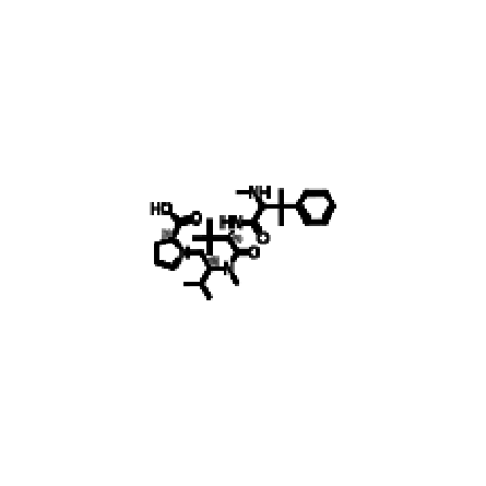 CNC(C(=O)N[C@H](C(=O)N(C)[C@H](CN1CCC[C@H]1C(=O)O)C(C)C)C(C)(C)C)C(C)(C)c1ccccc1